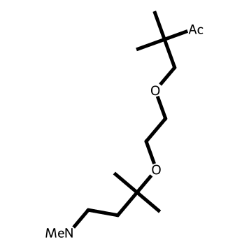 CNCCC(C)(C)OCCOCC(C)(C)C(C)=O